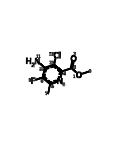 COC(=O)c1nc(C)c(F)c(N)c1Cl